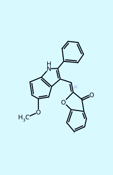 COc1ccc2[nH]c(-c3ccccc3)c(/C=C3\Oc4c[c]ccc4C3=O)c2c1